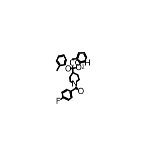 Cc1ccccc1OC(Oc1ccccc1C)(C(=O)O)C1CCN(C(=O)c2ccc(F)cc2)CC1